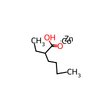 CCCCC(CC)C(=O)O.[Co].[Zn]